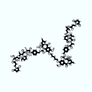 COc1cc2c(cc1OCCCCCOc1cc3c(cc1OC)C(=O)N1C=C(C)C[C@H]1[C@H](O)N3C(=O)OCc1ccc(NC(=O)[C@H](C)NC(=O)C(C(C)C)N3C(=O)CCC3(C)OCCC(C)(S)NC(=O)CCN3C(=O)C=CC3=O)cc1)N(C(=O)OCc1ccc(NC(=O)C(C)NC(=O)[C@H](C(C)C)N3C(=O)CCC3(S)OCCC(C)(C)NC(=O)CCN3C(=O)C=CC3=O)cc1)[C@@H](O)[C@@H]1CC(C)=CN1C2=O